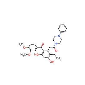 CCc1c(O)cc(O)c(C(=O)c2ccc(OC)c(OC)c2)c1CC(=O)N1CCN(c2ccccc2)CC1